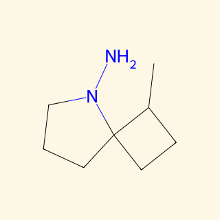 CC1CCC12CCCN2N